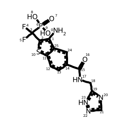 Nc1c(C(F)(F)P(=O)(O)O)sc2ccc(C(=O)NCc3ncn[nH]3)cc12